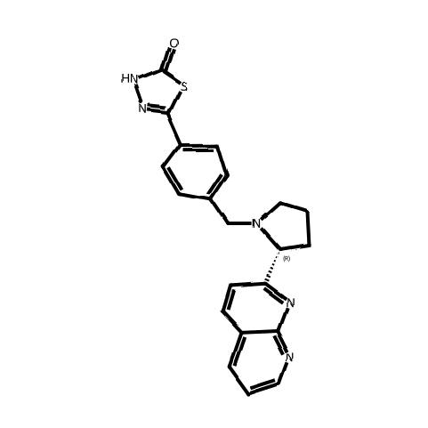 O=c1[nH]nc(-c2ccc(CN3CCC[C@@H]3c3ccc4cccnc4n3)cc2)s1